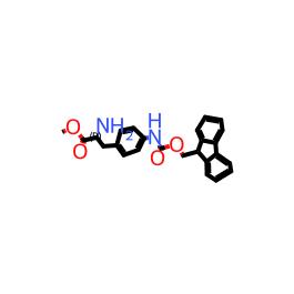 COC(=O)[C@H](N)Cc1ccc(NC(=O)OCC2c3ccccc3-c3ccccc32)cc1